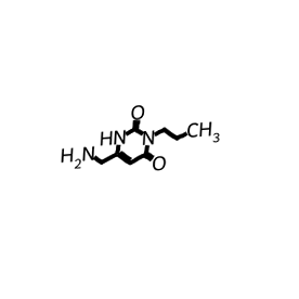 CCCn1c(=O)cc(CN)[nH]c1=O